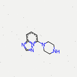 c1cc(N2CCNCC2)n2ncnc2c1